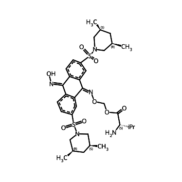 CC(C)[C@H](N)C(=O)OCON=C1c2cc(S(=O)(=O)N3C[C@H](C)C[C@H](C)C3)ccc2C(=NO)c2ccc(S(=O)(=O)N3C[C@H](C)C[C@H](C)C3)cc21